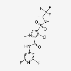 C[C@@H](NS(=O)(=O)c1cn(C)c(C(=O)Nc2cc(F)nc(F)c2)c1Cl)C(F)(F)F